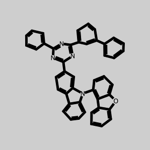 c1ccc(-c2cccc(-c3nc(-c4ccccc4)nc(-c4ccc5c6ccccc6n(-c6cccc7oc8ccccc8c67)c5c4)n3)c2)cc1